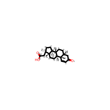 C[C@]12C=CC(=O)C[C@H]1CC[C@@H]1[C@@H]2CC[C@@]2(C)[C@H]1CC[C@]2(C)CC(=O)O